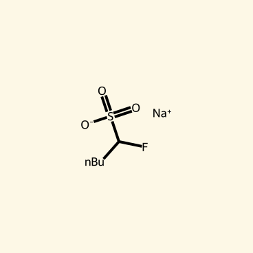 CCCCC(F)S(=O)(=O)[O-].[Na+]